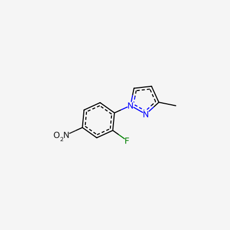 Cc1ccn(-c2ccc([N+](=O)[O-])cc2F)n1